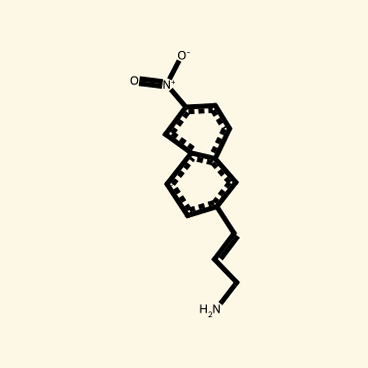 NCC=Cc1ccc2cc([N+](=O)[O-])ccc2c1